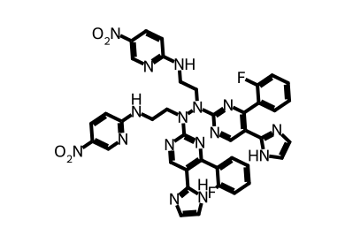 O=[N+]([O-])c1ccc(NCCN(c2ncc(-c3ncc[nH]3)c(-c3ccccc3F)n2)N(CCNc2ccc([N+](=O)[O-])cn2)c2ncc(-c3ncc[nH]3)c(-c3ccccc3F)n2)nc1